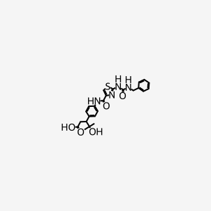 CC(C)(O)C(CC(=O)O)c1ccc(NC(=O)c2csc(NC(=O)NCc3ccccc3)n2)cc1